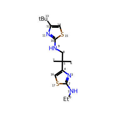 CCNc1nc(C(C)(C)CNc2nc(C(C)(C)C)cs2)cs1